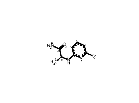 C[C@H](Nc1cccc(Br)n1)C(N)=O